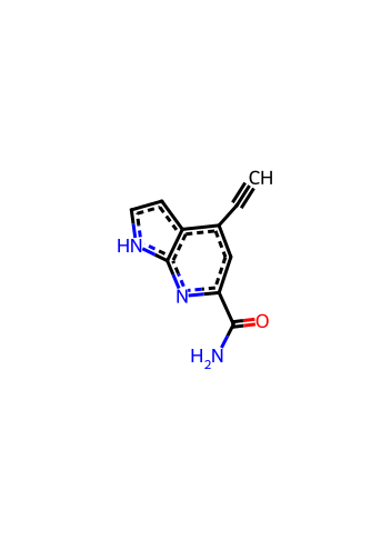 C#Cc1cc(C(N)=O)nc2[nH]ccc12